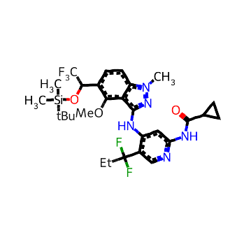 CCC(F)(F)c1cnc(NC(=O)C2CC2)cc1Nc1nn(C)c2ccc(C(O[Si](C)(C)C(C)(C)C)C(F)(F)F)c(OC)c12